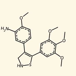 COc1ccc(C2=C(c3cc(OC)c(OC)c(OC)c3)SNC2)cc1N